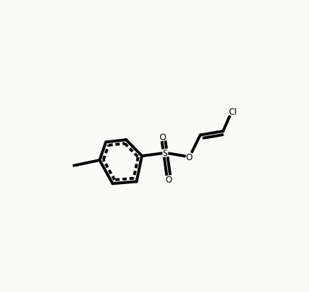 Cc1ccc(S(=O)(=O)OC=CCl)cc1